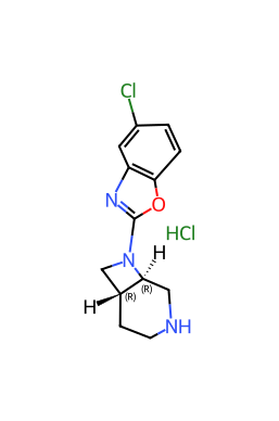 Cl.Clc1ccc2oc(N3C[C@H]4CCNC[C@@H]43)nc2c1